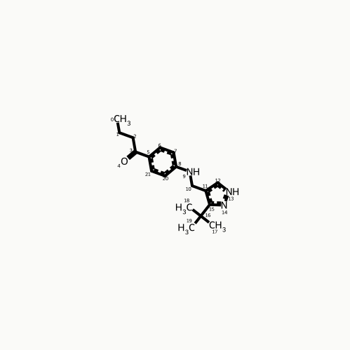 CCCC(=O)c1ccc(NCc2c[nH]nc2C(C)(C)C)cc1